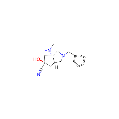 CN[C@]12CN(Cc3ccccc3)C[C@H]1C[C@](O)(C#N)C2